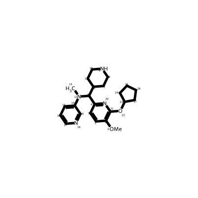 COc1ccc(C(C2CCNCC2)N(C)c2cccnc2)nc1OC1CCCC1